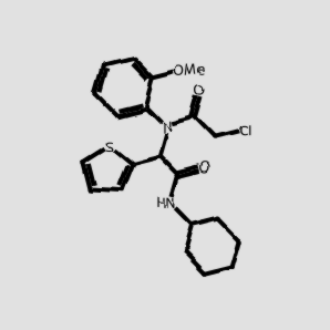 COc1ccccc1N(C(=O)CCl)C(C(=O)NC1CCCCC1)c1cccs1